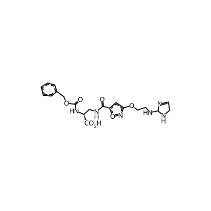 O=C(N[C@@H](CNC(=O)c1cc(OCCNC2N=CCN2)no1)C(=O)O)OCc1ccccc1